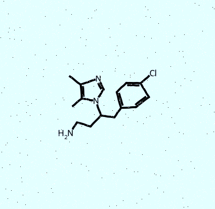 Cc1ncn(C(CCN)Cc2ccc(Cl)cc2)c1C